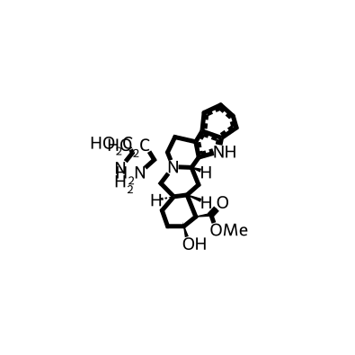 COC(=O)[C@@H]1[C@H]2C[C@H]3c4[nH]c5ccccc5c4CCN3C[C@@H]2CC[C@@H]1O.NCC(=O)O.NCC(=O)O